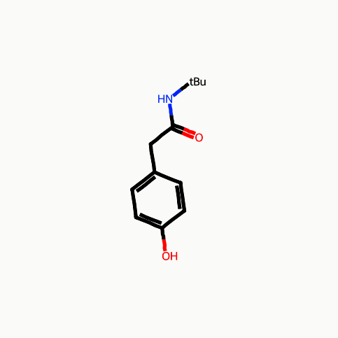 [CH2]C(C)(C)NC(=O)Cc1ccc(O)cc1